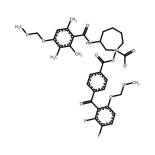 COCOc1cc(C)c(C(=O)NC2CCCC[N+](OC(=O)c3ccc(C(=O)c4c(OCOC)ccc(F)c4F)cc3)(C(=O)[O-])C2)c(C)c1C